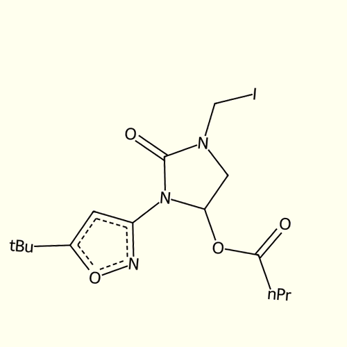 CCCC(=O)OC1CN(CI)C(=O)N1c1cc(C(C)(C)C)on1